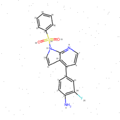 Nc1ccc(-c2ccnc3c2ccn3S(=O)(=O)c2ccccc2)cc1F